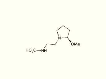 CO[C@@H]1CCCN1CCNC(=O)O